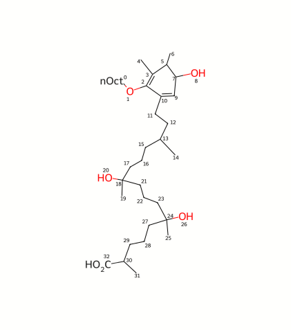 CCCCCCCCOC1=C(C)C(C)C(O)C=C1CCC(C)CCCC(C)(O)CCCC(C)(O)CCCC(C)C(=O)O